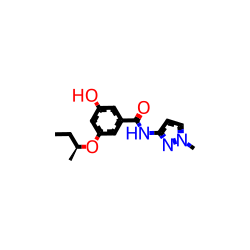 CC[C@H](C)Oc1cc(O)cc(C(=O)Nc2ccn(C)n2)c1